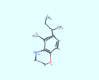 CCC(C)c1ccc2c(c1C)NCCO2